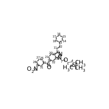 C[Si](C)(C)CCOCn1nc(/C=C/c2ccccc2)c2ccc(C(=O)c3cccc([N+](=O)[O-])c3)cc21